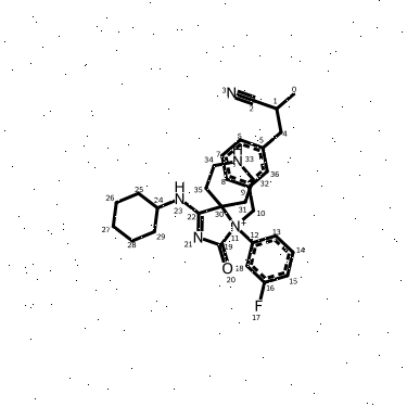 CC(C#N)Cc1cccc(C[N+]2(c3cccc(F)c3)C(=O)N=C(NC3CCCCC3)C23CCNCC3)c1